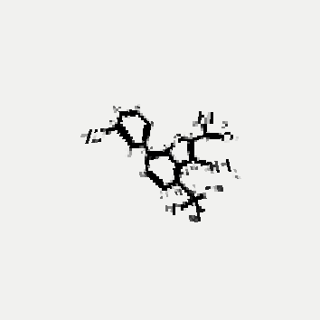 NC(=O)c1sc2c(-c3cccc(O)c3)ccc(C(F)(F)F)c2c1N